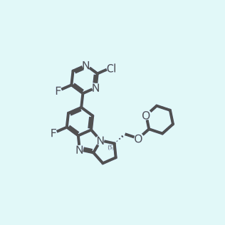 Fc1cnc(Cl)nc1-c1cc(F)c2nc3n(c2c1)[C@H](COC1CCCCO1)CC3